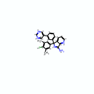 Cc1cc(C2(c3cccc(-c4cncnc4)c3)N=C(N)c3ncccc32)cc(C)c1F